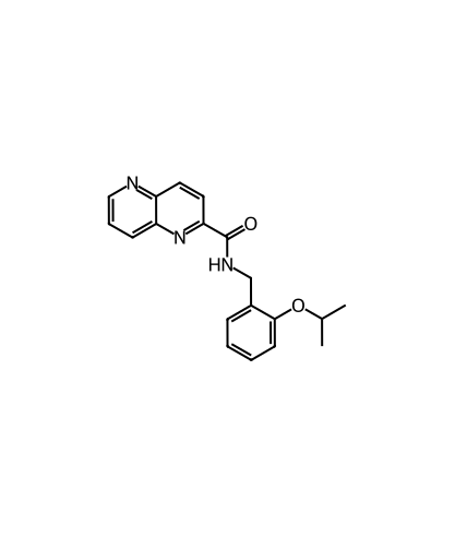 CC(C)Oc1ccccc1CNC(=O)c1ccc2ncccc2n1